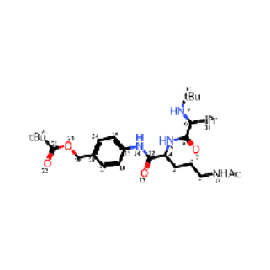 CC(=O)NCCCC(NC(=O)C(NC(C)(C)C)C(C)C)C(=O)Nc1ccc(COC(=O)C(C)(C)C)cc1